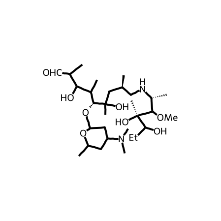 CCC(O)[C@@](C)(O)C(OC)[C@@H](C)NC[C@H](C)CC(C)(O)[C@H](OC1CC(N(C)C)CC(C)O1)C(C)C(O)C(C)C=O